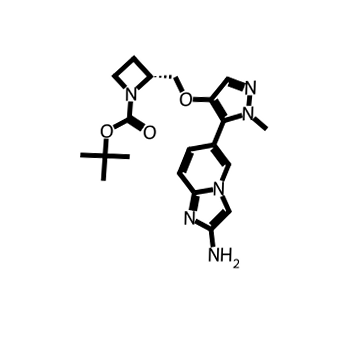 Cn1ncc(OC[C@H]2CCN2C(=O)OC(C)(C)C)c1-c1ccc2nc(N)cn2c1